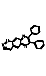 [CH]1=[W][V]=[U][c]2cc3nc(-c4ccccc4)c(-c4ccccc4)nc3cc21